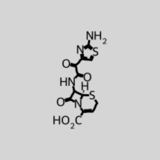 Nc1nc(C(=O)C(=O)NC2C(=O)N3C(C(=O)O)=CCS[C@H]23)cs1